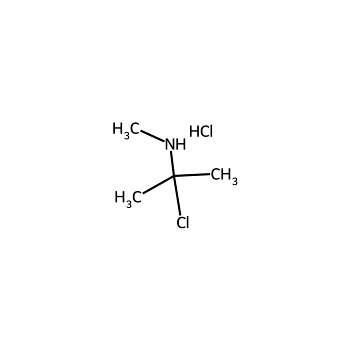 CNC(C)(C)Cl.Cl